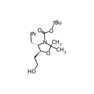 CC(C)C[C@H]1[C@H](CCO)OC(C)(C)N1C(=O)OC(C)(C)C